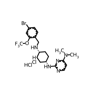 CN(C)c1ccnc(N[C@H]2CC[C@@H](NCc3ccc(Br)cc3OC(F)(F)F)CC2)n1.Cl.Cl